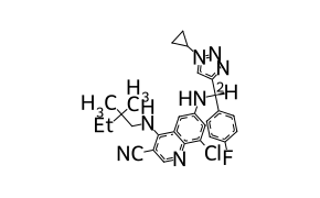 [2H][C@](Nc1cc(Cl)c2ncc(C#N)c(NCC(C)(C)CC)c2c1)(c1ccc(F)cc1)c1cn(C2CC2)nn1